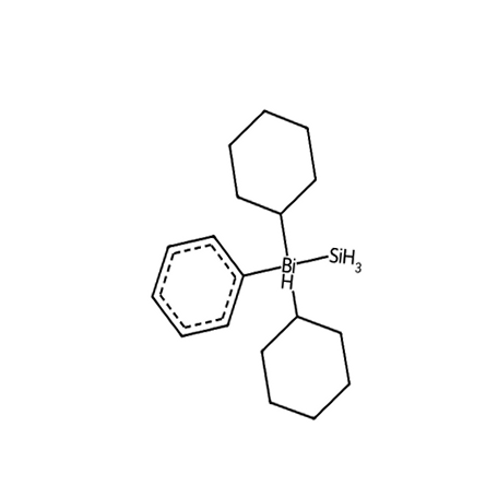 [SiH3][BiH]([c]1ccccc1)([CH]1CCCCC1)[CH]1CCCCC1